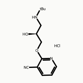 CC(C)(C)NC[C@H](O)COc1ncccc1C#N.Cl